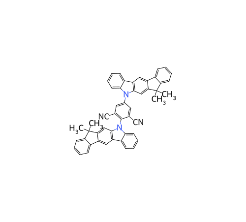 CC1(C)c2ccccc2-c2cc3c4ccccc4n(-c4cc(C#N)c(-n5c6ccccc6c6cc7c(cc65)C(C)(C)c5ccccc5-7)c(C#N)c4)c3cc21